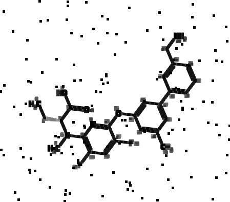 CC[C@H](C(=O)O)N(C)c1nc(Oc2cc(C)cc(-c3cccc(CN)c3)c2)c(F)cc1F